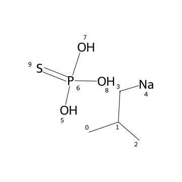 CC(C)[CH2][Na].OP(O)(O)=S